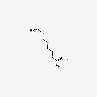 [CH]C(=C)CCCCCCCCCCC